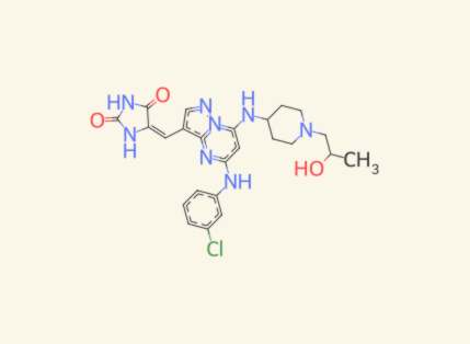 CC(O)CN1CCC(Nc2cc(Nc3cccc(Cl)c3)nc3c(C=C4NC(=O)NC4=O)cnn23)CC1